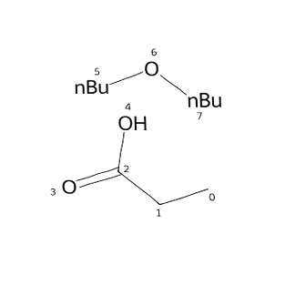 CCC(=O)O.CCCCOCCCC